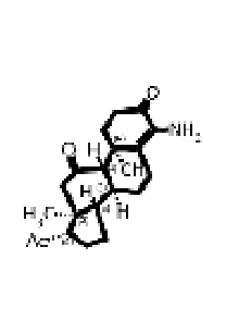 CC(=O)[C@H]1CC[C@H]2[C@@H]3CCC4=C(N)C(=O)CC[C@]4(C)[C@H]3C(=O)C[C@]12C